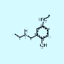 CCNCc1cc(NC)ccc1O